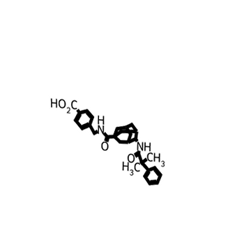 CC(C)(C(=O)NC1C2CC3CC1CC(C(=O)NCc1ccc(C(=O)O)cc1)(C3)C2)c1ccccc1